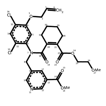 C=CCOc1cc(N(Cc2cncc(C(=O)OC)c2)C(=O)C2=C(C(=O)OCCOC)CCCC2)c(Cl)cc1Cl